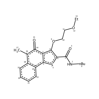 CCCCNC(=O)c1sc2c(c1OCCOCC)c(=O)n(C)c1ccccc21